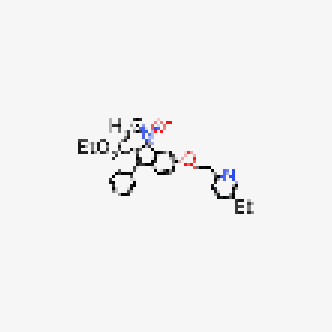 CCOC(=O)C1=C(c2ccccc2)c2ccc(OCCc3ccc(CC)cn3)cc2/C1=[N+](/C)[O-]